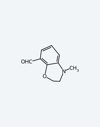 CN1CCOc2c(C=O)cccc21